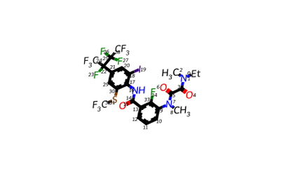 CCN(C)C(=O)C(=O)N(C)c1cccc(C(=O)Nc2c(I)cc(C(F)(C(F)(F)F)C(F)(F)C(F)(F)F)cc2SC(F)(F)F)c1F